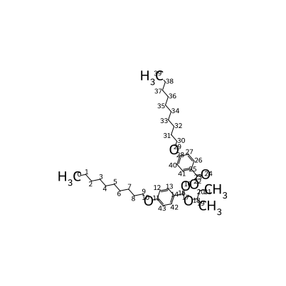 CCCCCCCCCCOc1ccc(C(=O)OC(C)C(C)OC(=O)c2ccc(OCCCCCCCCCC)cc2)cc1